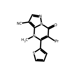 CC(C)c1c(-c2cccs2)n(C)c2c(C#N)cnn2c1=O